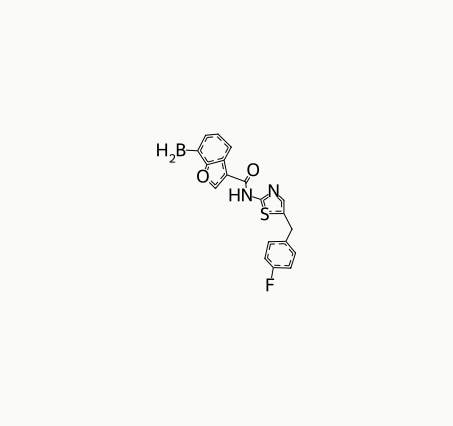 Bc1cccc2c(C(=O)Nc3ncc(Cc4ccc(F)cc4)s3)coc12